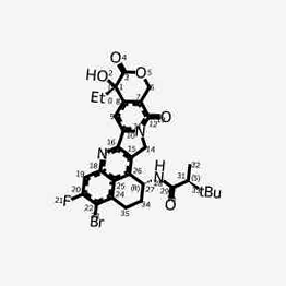 CC[C@@]1(O)C(=O)OCc2c1cc1n(c2=O)Cc2c-1nc1cc(F)c(Br)c3c1c2[C@H](NC(=O)[C@@H](C)C(C)(C)C)CC3